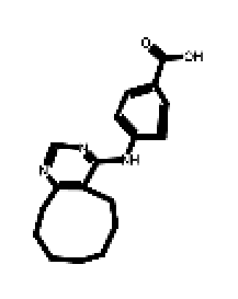 O=C(O)c1ccc(Nc2ncnc3c2CCCCCCC3)cc1